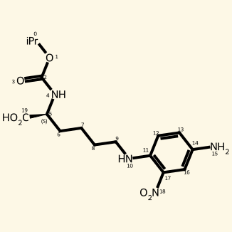 CC(C)OC(=O)N[C@@H](CCCCNc1ccc(N)cc1[N+](=O)[O-])C(=O)O